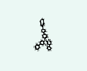 c1ccc(-c2ccc(-c3ccc(N(c4ccc(-c5ccccc5)cc4)c4nccc5c4oc4ccccc45)cc3)cc2)cc1